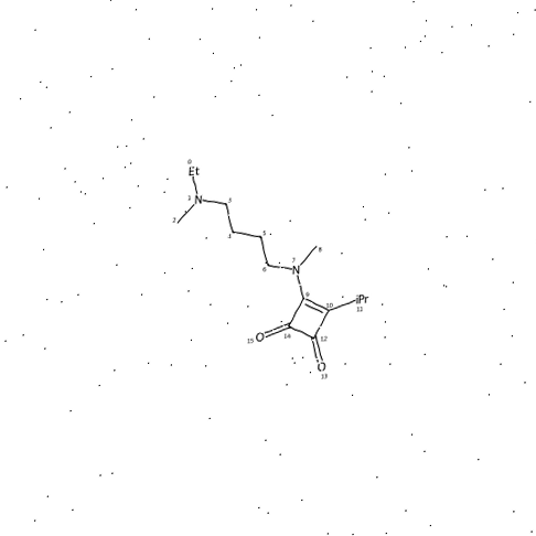 CCN(C)CCCCN(C)c1c(C(C)C)c(=O)c1=O